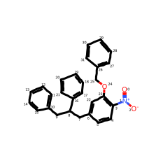 O=[N+]([O-])c1ccc(CC(Cc2ccccc2)c2ccccc2)cc1OCc1ccccc1